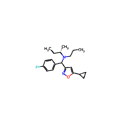 CCCN(C(c1ccc(F)cc1)c1cc(C2CC2)on1)[C@@H](C)CC